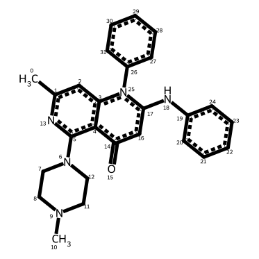 Cc1cc2c(c(N3CCN(C)CC3)n1)c(=O)cc(Nc1ccccc1)n2-c1ccccc1